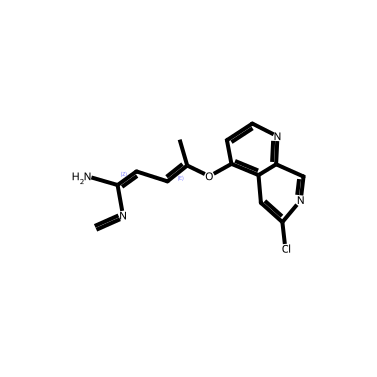 C=N/C(N)=C\C=C(/C)Oc1ccnc2cnc(Cl)cc12